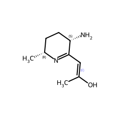 C/C(O)=C\C1=N[C@H](C)CC[C@@H]1N